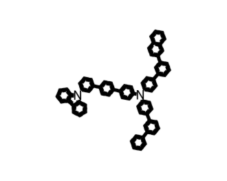 c1ccc(-c2cccc(-c3ccc(N(c4ccc(-c5ccc(-c6cccc(-n7c8ccccc8c8ccccc87)c6)cc5)cc4)c4ccc(-c5cccc(-c6ccc7ccccc7c6)c5)cc4)cc3)c2)cc1